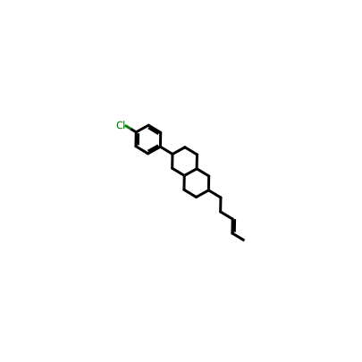 CC=CCCC1CCC2CC(c3ccc(Cl)cc3)CCC2C1